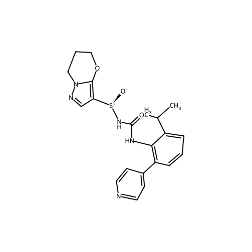 CC(C)c1cccc(-c2ccncc2)c1NC(=O)N[S@+]([O-])c1cnn2c1OCCC2